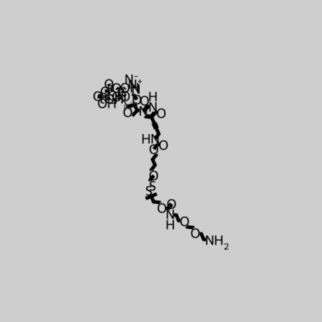 CC(C)(CCOC(=O)NCCOCCOCCN)SSCOCCCCOC(=O)NCC#Cc1cn(C2CO[C@H](COP(=O)(O)OP(=O)(O)OP(=O)(O)O)[C@H]2OCN=[N+]=[N-])c(=O)[nH]c1=O